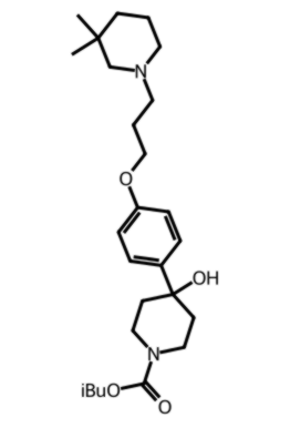 CC(C)COC(=O)N1CCC(O)(c2ccc(OCCCN3CCCC(C)(C)C3)cc2)CC1